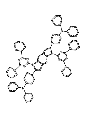 c1ccc(-c2nc(-c3ccccc3)nc(-n3c(-c4ccc(N(c5ccccc5)c5ccccc5)cc4)cc4cc5c(cc(-c6ccc(N(c7ccccc7)c7ccccc7)cc6)n5-c5nc(-c6ccccc6)nc(-c6ccccc6)n5)cc43)n2)cc1